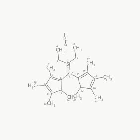 CC[SiH](CC)[Zr+2]([C]1=C(C)C(C)=C(C)C1C)[C]1=C(C)C(C)=C(C)C1C.[I-].[I-]